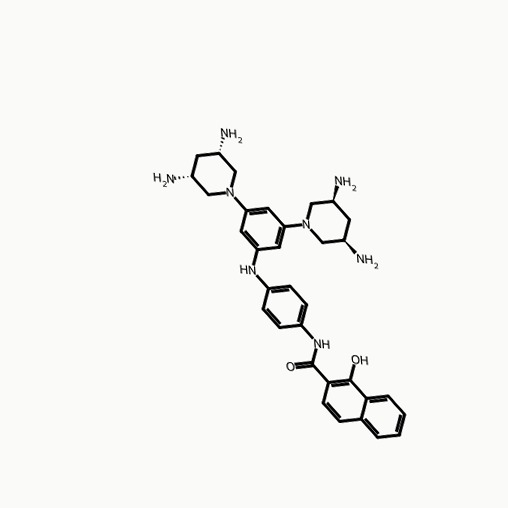 N[C@@H]1C[C@H](N)CN(c2cc(Nc3ccc(NC(=O)c4ccc5ccccc5c4O)cc3)cc(N3C[C@H](N)C[C@H](N)C3)c2)C1